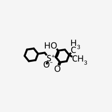 CC1(C)CC(=O)C([S+]([O-])CC2CCCCC2)=C(O)C1